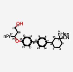 CCCCCCC1(C#N)CCCC(c2ccc(-c3ccc(OC(CCC)CCO)cc3)cc2)C1